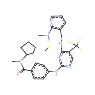 CSN(C)c1ncccc1CNc1nc(Nc2ccc(C(=O)N(C)C3CCCC3)cc2)ncc1C(F)(F)F